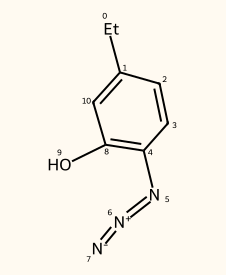 CCc1ccc(N=[N+]=[N-])c(O)c1